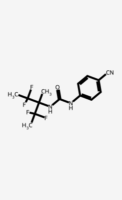 CC(F)(F)C(C)(NC(=O)Nc1ccc(C#N)cc1)C(C)(F)F